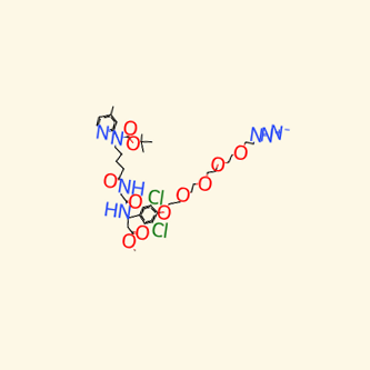 COC(=O)CC(NC(=O)CNC(=O)CCCCN(C(=O)OC(C)(C)C)c1cc(C)ccn1)c1cc(Cl)c(OCCOCCOCCOCCOCCN=[N+]=[N-])c(Cl)c1